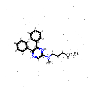 CCOC(=O)CCCN(c1cnc(-c2ccccc2)c(-c2ccccc2)n1)C(C)C